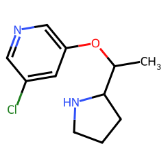 CC(Oc1cncc(Cl)c1)C1CCCN1